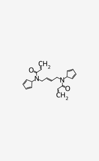 C=CC(=O)N(C/C=C/CN(C(=O)C=C)C1C=CC=C1)C1C=CC=C1